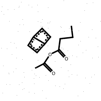 CCCC(=O)OC(C)=O.c1cc2ccc1-2